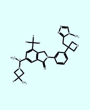 C[C@@H](c1cc2c(c(C(F)(F)F)c1)CN(c1cccc(C3(Cc4nncn4C)COC3)c1)C2=O)N1CC(C)(F)C1